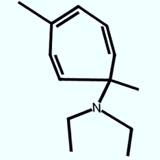 CCN(CC)C1(C)C=CC=C(C)C=C1